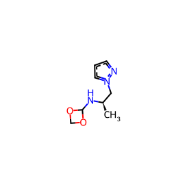 C[C@H](Cn1cccn1)NC1OCO1